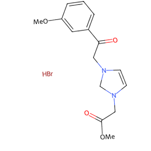 Br.COC(=O)CN1C=CN(CC(=O)c2cccc(OC)c2)C1